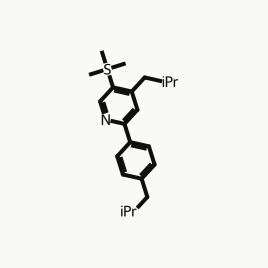 CC(C)Cc1ccc(-c2cc(CC(C)C)c(S(C)(C)C)cn2)cc1